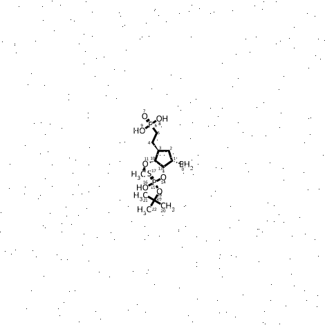 B[C@H]1C[C@H](CCP(=O)(O)O)[C@@H](OC)[C@H]1OP(O)(=S)OC(C)(C)C